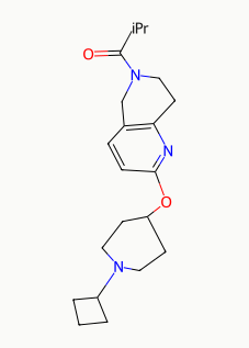 CC(C)C(=O)N1CCc2nc(OC3CCN(C4CCC4)CC3)ccc2C1